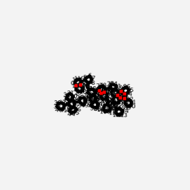 c1ccc(-c2ccccc2N(c2ccccc2)c2cc3c4c(c2)N(c2ccc(-c5c6ccccc6c(-c6ccccc6)c6ccccc56)cc2)c2ccccc2B4c2cc4c(cc2O3)N(c2c(-c3ccccc3)cccc2-c2ccccc2)c2cc(N(c3ccccc3)c3ccccc3)cc3c2B4c2ccccc2N3c2ccccc2)cc1